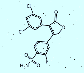 NS(=O)(=O)c1ccc(C2=C(c3cc(Cl)cc(Cl)c3)C(=O)OC2)cc1F